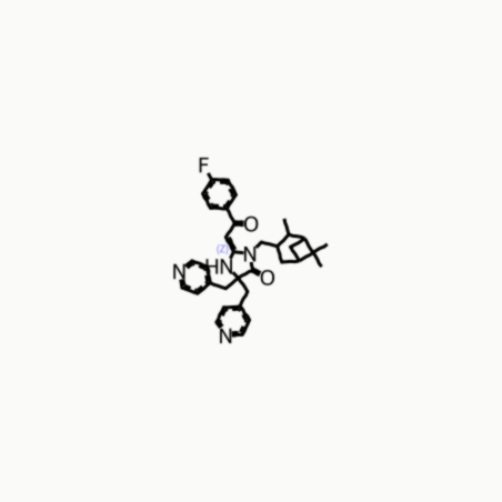 CC1C(CN2C(=O)C(Cc3ccncc3)(Cc3ccncc3)N/C2=C/C(=O)c2ccc(F)cc2)CC2CC1C2(C)C